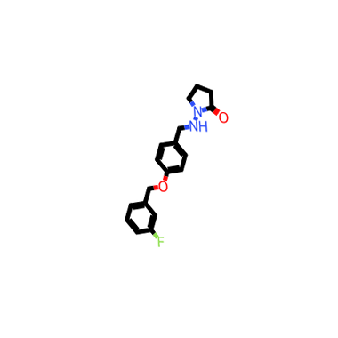 O=C1CCCN1NCc1ccc(OCc2cccc(F)c2)cc1